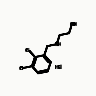 Cl.OCCNCc1cccc(Cl)c1Cl